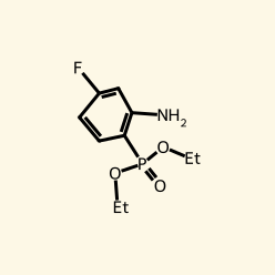 CCOP(=O)(OCC)c1ccc(F)cc1N